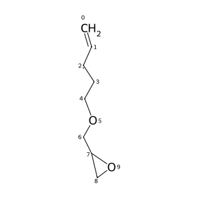 C=C[CH]CCOCC1CO1